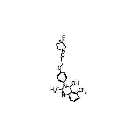 CC1=Nc2cccc(C(F)(F)F)c2C(O)N1c1ccc(OCCCN2CC[C@@H](F)C2)cc1